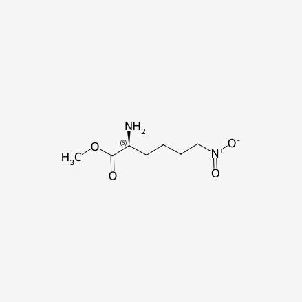 COC(=O)[C@@H](N)CCCC[N+](=O)[O-]